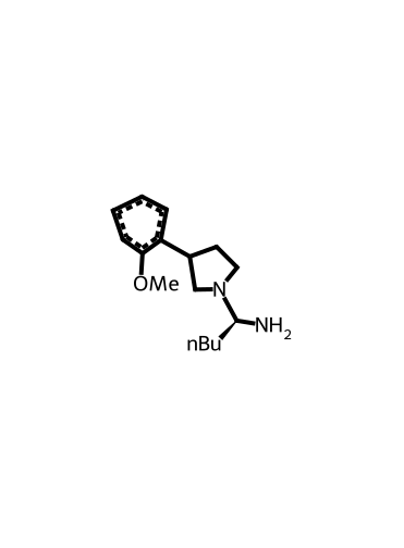 CCCC[C@H](N)N1CCC(c2ccccc2OC)C1